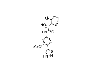 COc1cc(NC(=O)[C@H](O)c2ccccc2Cl)ccc1-c1cn[nH]c1